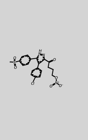 CS(=O)(=O)c1ccc(-c2[nH]nc(C(=O)CCCO[N+](=O)[O-])c2-c2ccc(Cl)cc2)cc1